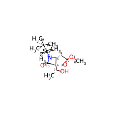 COC(=O)C[C@@H]1[C@@H]([C@@H](C)O)C(=O)N1[Si](C)(C)C(C)(C)C